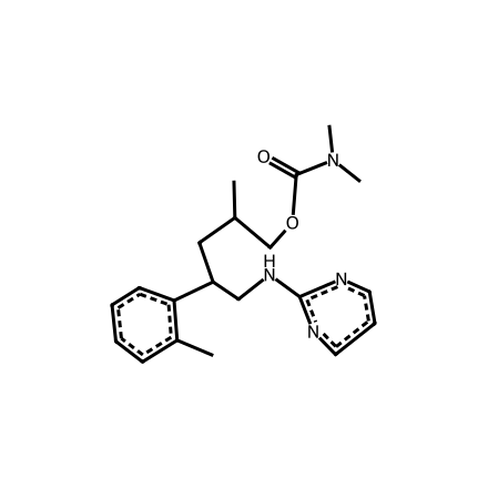 Cc1ccccc1C(CNc1ncccn1)CC(C)COC(=O)N(C)C